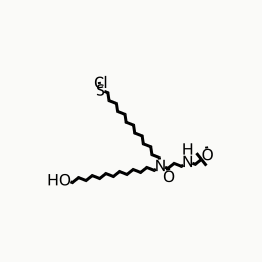 COC(C)(C)CNCCC(=O)N(CCCCCCCCCCCCCO)CCCCCCCCCCCCCSCl